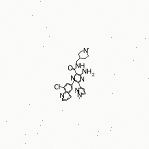 CN1CCC(CNC(=O)c2nc(-c3cc(Cl)c4ncccc4c3)c(-c3ccn(C)n3)nc2N)CC1